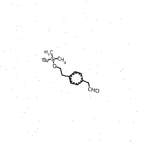 CC(C)(C)[Si](C)(C)OCCc1ccc(CC=O)cc1